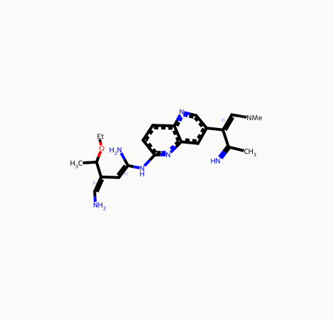 CCOC(C)C(/C=C(\N)Nc1ccc2ncc(/C(=C/NC)C(C)=N)cc2n1)=C/N